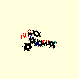 O=C(O)[C@@H](C1CCCCC1)N1C[C@H](CN2CCC(O)(CCCc3ccc(F)c(F)c3)CC2)[C@@H](c2ccccc2)C1